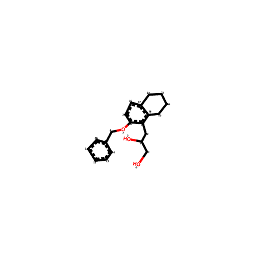 OCC(O)Cc1c(OCc2ccccc2)ccc2c1CCCC2